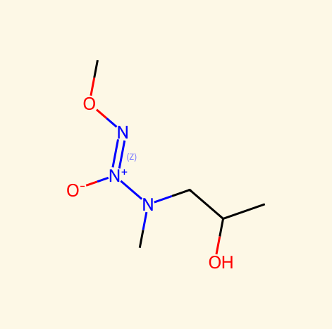 CO/N=[N+](\[O-])N(C)CC(C)O